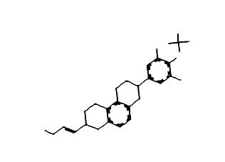 CCC=CC1CCc2c(ccc3c2CCC(c2cc(F)c(OC(F)(F)F)c(F)c2)C3)C1